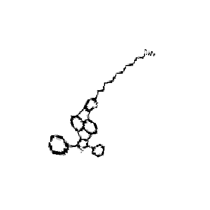 COCCCCCCCCCCc1cc2c(s1)-c1ccc3c4c(ccc-2c14)-c1c(-c2ccccc2)sc(-c2ccccc2)c1-3